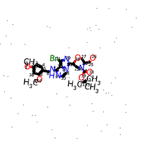 COc1ccc(CNc2nccn3c(C4CN(C(=O)OC(C)(C)C)C(C=O)CO4)nc(Br)c23)c(OC)c1